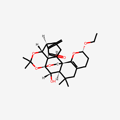 C=C1C(=O)[C@@]23[C@@H]4OC(C)(C)O[C@]25OC[C@]2(C6=C(CC[C@@H](OCC)O6)CC(C)(C)[C@H]2[C@@H]5O)[C@@H]3CC[C@@H]14